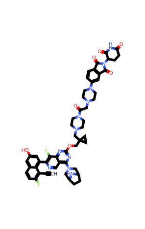 C#Cc1c(F)ccc2cc(O)cc(-c3ncc4c(N5CC6CCC(C5)N6)nc(OCC5(CN6CCN(C(=O)CN7CCN(c8ccc9c(c8)C(=O)N(C8CCC(=O)NC8=O)C9=O)CC7)CC6)CC5)nc4c3F)c12